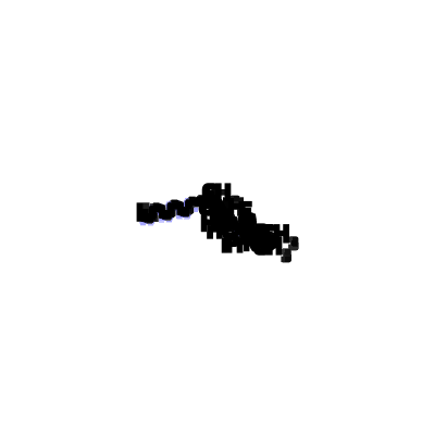 CC/C=C\C/C=C\C/C=C\C/C=C\C/C=C\C/C=C\CCC(=O)N(C)CCNC(=O)C[C@H](O)C[C@H](O)/C=C/c1c(-c2ccc(F)cc2)nc(N(C)S(C)(=O)=O)nc1C(C)C